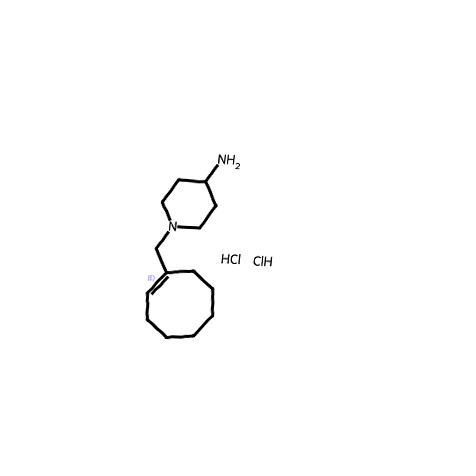 Cl.Cl.NC1CCN(C/C2=C/CCCCCC2)CC1